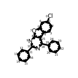 Clc1ccc2c(c1)oc1nc(-c3ccccc3)nc(-c3ccccc3)c12